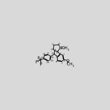 COc1ccc2c(c1)C1C(CCCN1C)C2c1ccc(C(F)(F)F)cc1